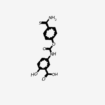 NC(=S)c1ccc(OC(=O)Nc2ccc(O)c(C(=O)O)c2)cc1